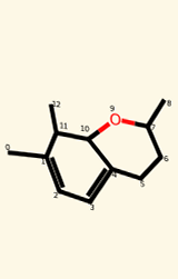 CC1=CC=C2CCC(C)OC2C1C